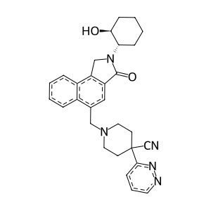 N#CC1(c2cccnn2)CCN(Cc2cc3c(c4ccccc24)CN([C@H]2CCCC[C@@H]2O)C3=O)CC1